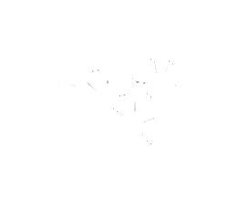 CCn1c(-c2nonc2N)nc2c(-c3cccc(N)c3)ncc(C(=O)NN3CCCC3)c21